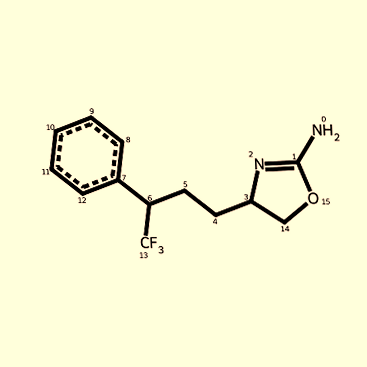 NC1=NC(CCC(c2ccccc2)C(F)(F)F)CO1